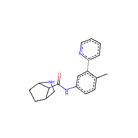 Cc1ccc(NC(=O)C2C3CCC2NC3)cc1-c1ccccn1